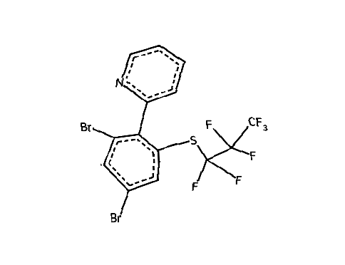 FC(F)(F)C(F)(F)C(F)(F)Sc1cc(Br)[c]c(Br)c1-c1ccccn1